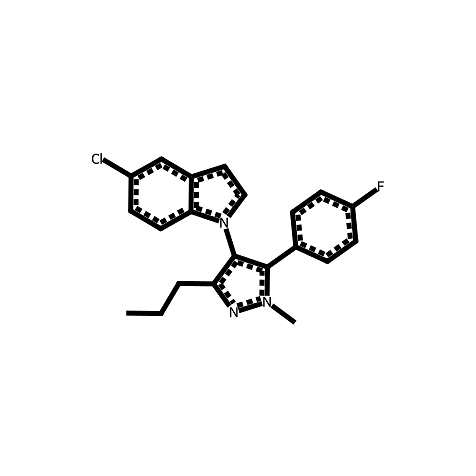 CCCc1nn(C)c(-c2ccc(F)cc2)c1-n1ccc2cc(Cl)ccc21